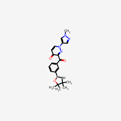 Cn1cc(-n2ccc(=O)c(C(=O)c3cccc(B4BC(C)(C)C(C)(C)O4)c3)n2)cn1